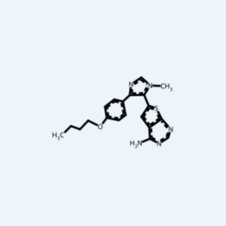 CCCCOc1ccc(-c2ncn(C)c2-c2cc3c(N)ncnc3s2)cc1